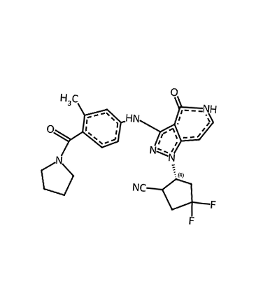 Cc1cc(Nc2nn([C@@H]3CC(F)(F)CC3C#N)c3cc[nH]c(=O)c23)ccc1C(=O)N1CCCC1